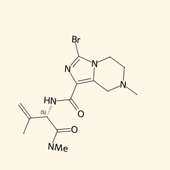 C=C(C)[C@H](NC(=O)c1nc(Br)n2c1CN(C)CC2)C(=O)NC